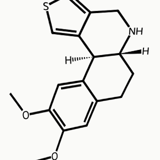 COc1cc2c(cc1OC)[C@H]1c3cscc3CN[C@@H]1CC2